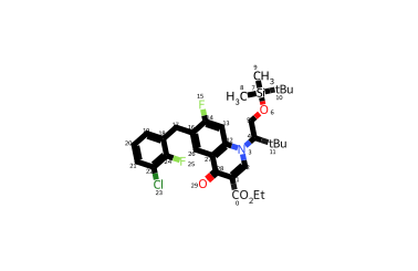 CCOC(=O)c1cn(C(CO[Si](C)(C)C(C)(C)C)C(C)(C)C)c2cc(F)c(Cc3cccc(Cl)c3F)cc2c1=O